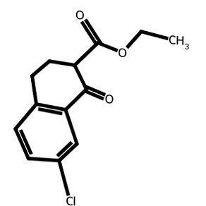 CCOC(=O)C1CCc2ccc(Cl)cc2C1=O